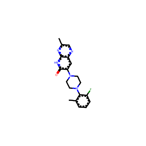 Cc1cnc2cc(N3CCN(c4c(C)cccc4F)CC3)c(=O)[nH]c2n1